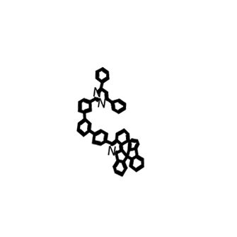 c1ccc(-c2cc(-c3ccccc3)nc(-c3cccc(-c4cccc(-c5ccc(-c6nc7c(c8ccccc68)C6(c8ccccc8-c8ccccc86)c6ccccc6-7)cc5)c4)c3)n2)cc1